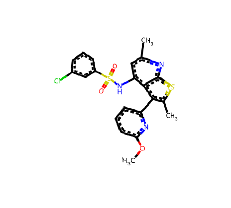 COc1cccc(-c2c(C)sc3nc(C)cc(NS(=O)(=O)c4cccc(Cl)c4)c23)n1